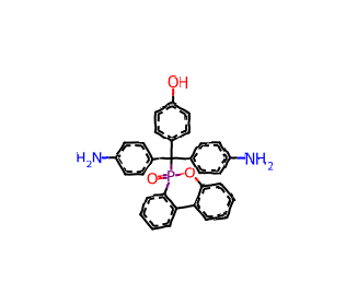 Nc1ccc(C(c2ccc(N)cc2)(c2ccc(O)cc2)P2(=O)Oc3ccccc3-c3ccccc32)cc1